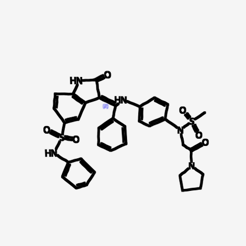 CS(=O)(=O)N(CC(=O)N1CCCC1)c1ccc(N/C(=C2\C(=O)Nc3ccc(S(=O)(=O)Nc4ccccc4)cc32)c2ccccc2)cc1